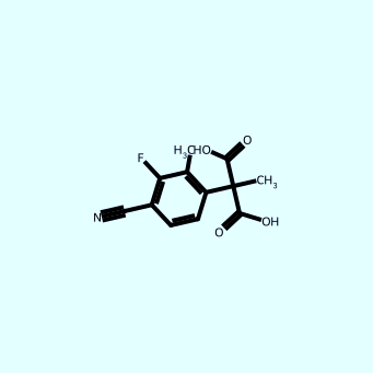 Cc1c(C(C)(C(=O)O)C(=O)O)ccc(C#N)c1F